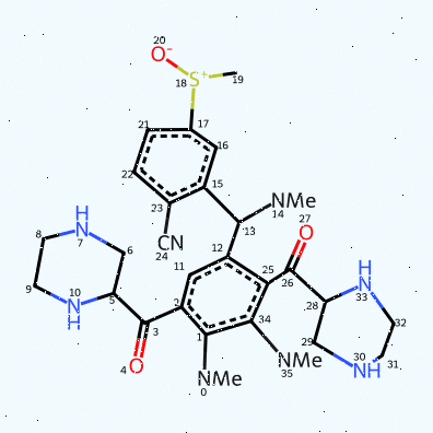 CNc1c(C(=O)C2CNCCN2)cc(C(NC)c2cc([S+](C)[O-])ccc2C#N)c(C(=O)C2CNCCN2)c1NC